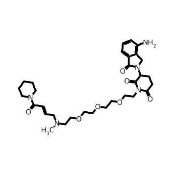 CN(C/C=C/C(=O)N1CCCCC1)CCOCCOCCOCCN1C(=O)CCC(N2Cc3c(N)cccc3C2=O)C1=O